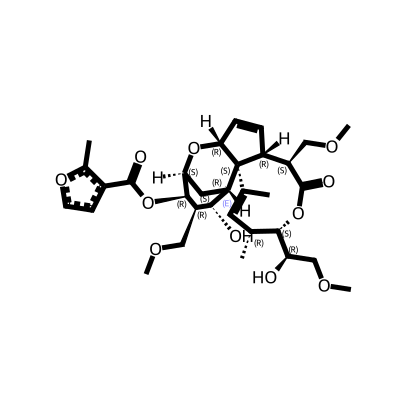 COC[C@@H]1[C@@H](O)[C@@H]2C[C@H](O[C@@H]3C=C[C@@H]4[C@@H](COC)C(=O)O[C@H]([C@H](O)COC)[C@H](C)/C=C(\C)[C@@]432)[C@@H]1OC(=O)c1ccoc1C